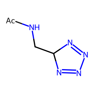 [CH2]C(=O)NCC1N=NN=N1